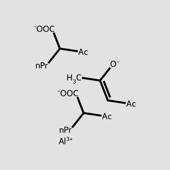 CC(=O)/C=C(/C)[O-].CCCC(C(C)=O)C(=O)[O-].CCCC(C(C)=O)C(=O)[O-].[Al+3]